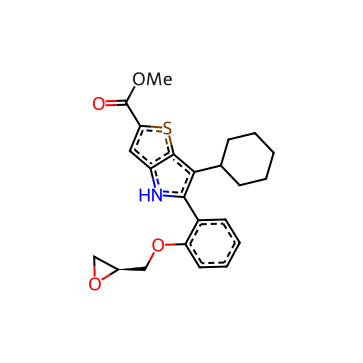 COC(=O)c1cc2[nH]c(-c3ccccc3OC[C@@H]3CO3)c(C3CCCCC3)c2s1